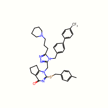 Cc1ccc(CSc2nc(=O)c3c(n2Cc2nnc(CCCN4CCCCC4)n2Cc2ccc(-c4ccc(C(F)(F)F)cc4)cc2)CCC3)cc1